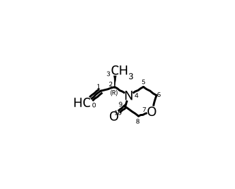 C#C[C@@H](C)N1CCOCC1=O